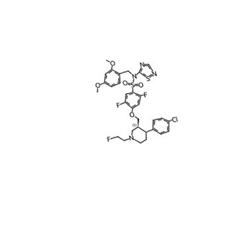 COc1ccc(CN(c2ncns2)S(=O)(=O)c2cc(F)c(OC[C@@H]3CN(CCF)CCC3c3ccc(Cl)cc3)cc2F)c(OC)c1